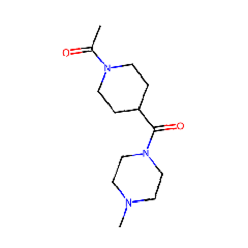 CC(=O)N1CCC(C(=O)N2CCN(C)CC2)CC1